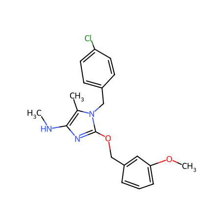 CNc1nc(OCc2cccc(OC)c2)n(Cc2ccc(Cl)cc2)c1C